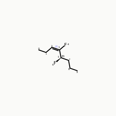 CC/C=C(/F)[C@H](F)CCC